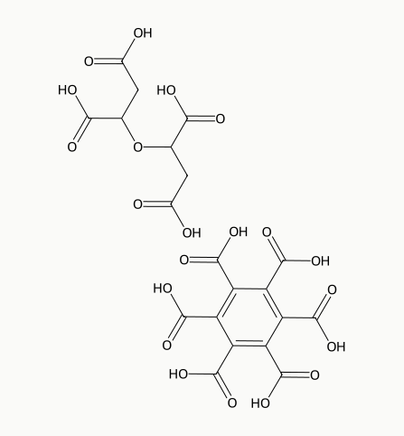 O=C(O)CC(OC(CC(=O)O)C(=O)O)C(=O)O.O=C(O)c1c(C(=O)O)c(C(=O)O)c(C(=O)O)c(C(=O)O)c1C(=O)O